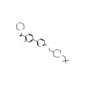 CCC(F)(CC)CN1CCC(COc2ccc(-c3ccc(C(=O)N4CCCCC4)c(F)c3)cn2)CC1